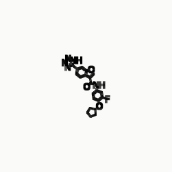 O=C(Nc1ccc(OC2CCCC2)c(F)c1)c1coc2cc(-c3nnn[nH]3)ccc12